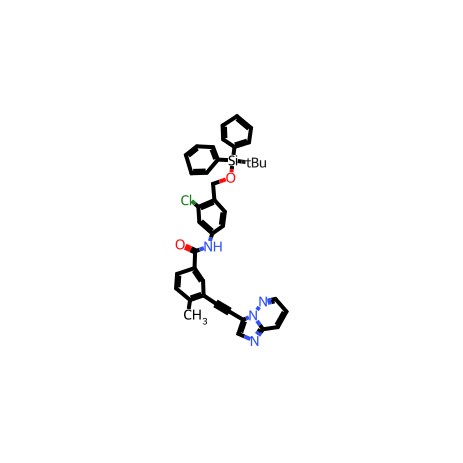 Cc1ccc(C(=O)Nc2ccc(CO[Si](c3ccccc3)(c3ccccc3)C(C)(C)C)c(Cl)c2)cc1C#Cc1cnc2cccnn12